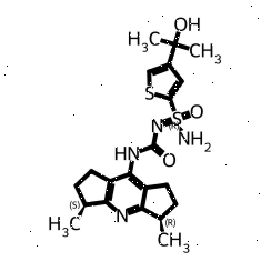 C[C@@H]1CCc2c1nc1c(c2NC(=O)N=[S@@](N)(=O)c2cc(C(C)(C)O)cs2)CC[C@@H]1C